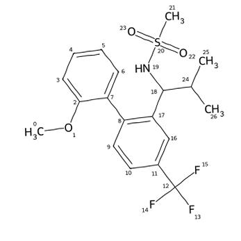 COc1ccccc1-c1ccc(C(F)(F)F)cc1C(NS(C)(=O)=O)C(C)C